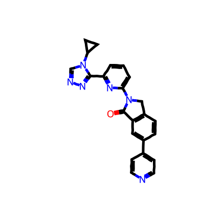 O=C1c2cc(-c3ccncc3)ccc2CN1c1cccc(-c2nncn2C2CC2)n1